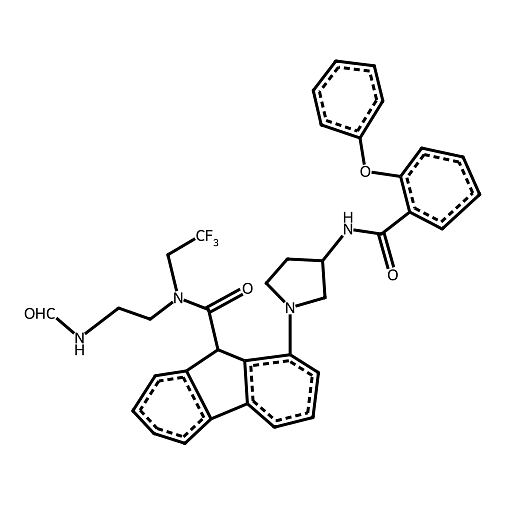 O=CNCCN(CC(F)(F)F)C(=O)C1c2ccccc2-c2cccc(N3CCC(NC(=O)c4ccccc4Oc4ccccc4)C3)c21